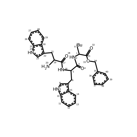 CCC(C)C(NC(=O)C(Cc1c[nH]c2ccccc12)NC(=O)C(N)Cc1c[nH]c2ccccc12)C(=O)OCc1ccccc1